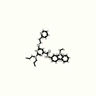 CCCN(CCC)c1nc(OCCc2ccccn2)cc(C(=O)Nc2ccc3c4ccccc4n(CC)c3c2)n1